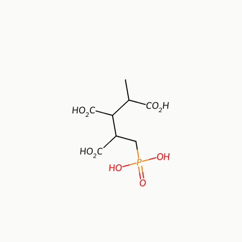 CC(C(=O)O)C(C(=O)O)C(CP(=O)(O)O)C(=O)O